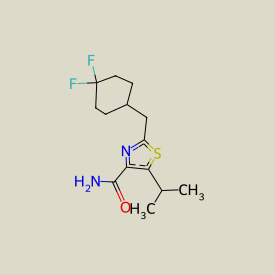 CC(C)c1sc(CC2CCC(F)(F)CC2)nc1C(N)=O